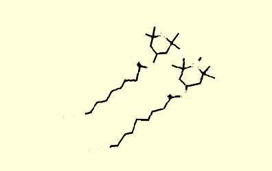 CCCCCCCCCCCCCCCCCC(=O)OC1CC(C)(C)N(C)C(C)(C)C1.CCCCCCCCCCCCCCCCCC(=O)OC1CC(C)(C)NC(C)(C)C1